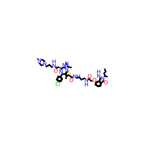 CCCC(C)N1C(=N)c2c(OCC(=O)NCCCCNC(=O)c3sc4c(c3C)C(c3ccc(Cl)cc3)=N[C@@H](CC(=O)NCCCN3CCN(C)CC3)c3nnc(C)n3-4)cccc2C1=O